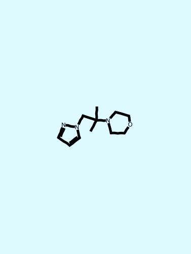 CC(C)(Cn1c[c]cn1)N1CCOCC1